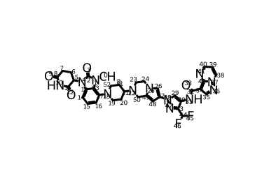 Cn1c(=O)n(C2CCC(=O)NC2=O)c2cccc(N3CCC(N4CCn5cc(-n6cc(NC(=O)c7cnn8cccnc78)c(C(F)F)n6)cc5C4)CC3)c21